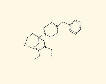 CCC1=C2CC(N3CCN(Cc4ccccc4)CC3)(CCO2)CN1CC